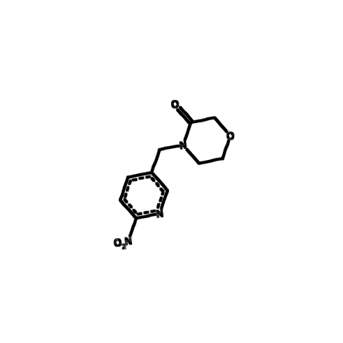 O=C1COCCN1Cc1ccc([N+](=O)[O-])nc1